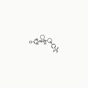 FC(F)(F)c1ccc(N2CCC[C@H](N[C@@H]3CCCC[C@H]3Nc3ncc(Cl)cn3)C2)cc1